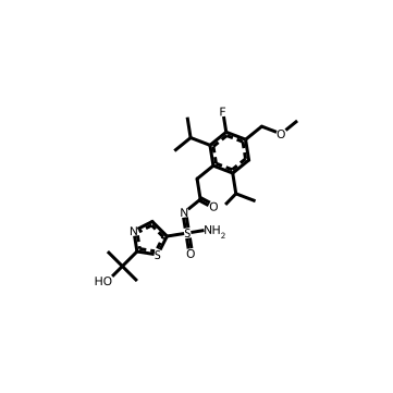 COCc1cc(C(C)C)c(CC(=O)N=S(N)(=O)c2cnc(C(C)(C)O)s2)c(C(C)C)c1F